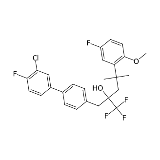 COc1ccc(F)cc1C(C)(C)CC(O)(Cc1ccc(-c2ccc(F)c(Cl)c2)cc1)C(F)(F)F